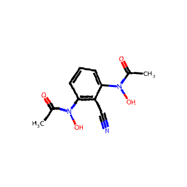 CC(=O)N(O)c1cccc(N(O)C(C)=O)c1C#N